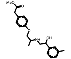 COC(=O)Cc1ccc(OCC(C)NCC(O)c2cccc(C)c2)cc1